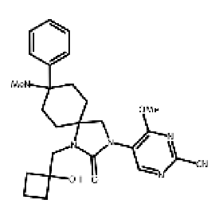 CNC1(c2ccccc2)CCC2(CC1)CN(c1cnc(C#N)nc1OC)C(=O)N2CC1(O)CCC1